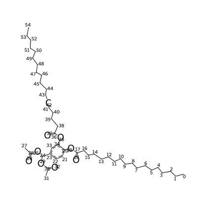 CCCCCCCCCCCCCCCCCC(=O)Oc1ccc(C(OC(C)=O)OC(C)=O)cc1OC(=O)CCCCCCCCCCCCCCCCC